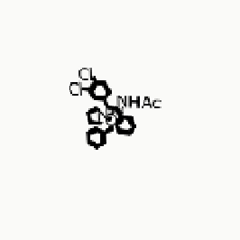 CC(=O)N[C@@H](c1ccccc1)C(c1ccc(Cl)c(Cl)c1)[N+]1(OCc2ccccc2)CCCC1